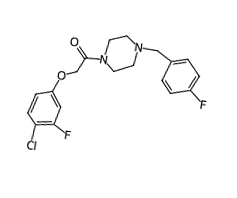 O=C(COc1ccc(Cl)c(F)c1)N1CCN(Cc2ccc(F)cc2)CC1